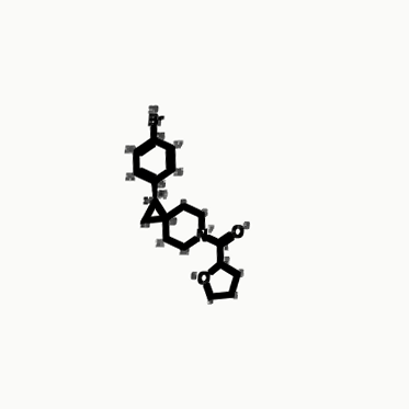 O=C(C1CCCO1)N1CCC2(CC1)C[C@H]2c1ccc(Br)cc1